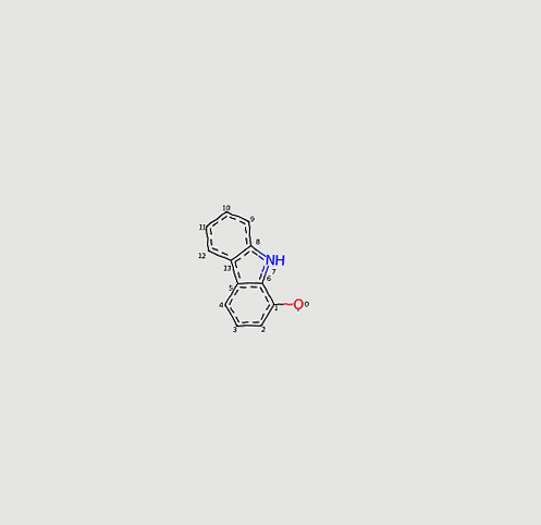 [O]c1cccc2c1[nH]c1ccccc12